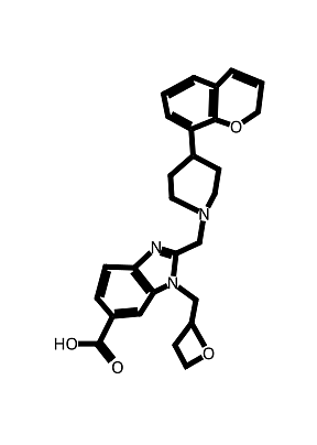 O=C(O)c1ccc2nc(CN3CCC(c4cccc5c4OCC=C5)CC3)n(CC3CCO3)c2c1